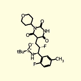 Cc1ccc(F)c([C@@H](N[S@+]([O-])C(C)(C)C)[C@@H](F)CC2C(=O)NC(=O)N(C3CCOCC3)C2=O)c1